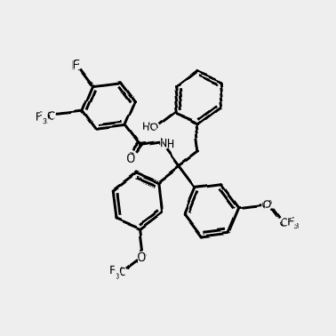 O=C(NC(Cc1ccccc1O)(c1cccc(OC(F)(F)F)c1)c1cccc(OC(F)(F)F)c1)c1ccc(F)c(C(F)(F)F)c1